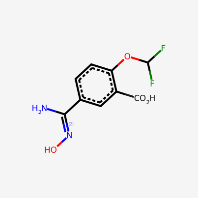 N/C(=N\O)c1ccc(OC(F)F)c(C(=O)O)c1